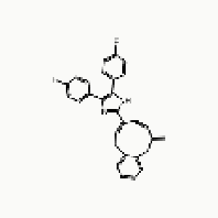 C=C1/C=C\C(c2nc(-c3ccc(F)cc3)c(-c3ccc(F)cc3)[nH]2)=C/Cc2ccccc2C1